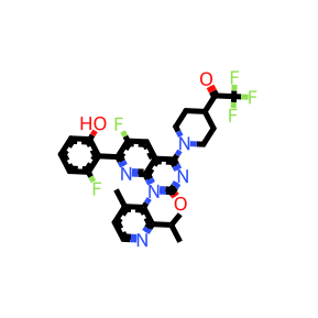 Cc1ccnc(C(C)C)c1-n1c(=O)nc(N2CCC(C(=O)C(F)(F)F)CC2)c2cc(F)c(-c3c(O)cccc3F)nc21